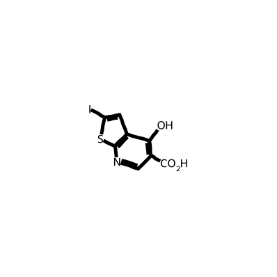 O=C(O)c1cnc2sc(I)cc2c1O